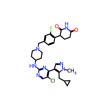 Cn1ncc(-c2nc(NC3CCN(Cc4ccc(C5CCC(=O)NC5=O)c(F)c4)CC3)ncc2Cl)c1CC1CC1